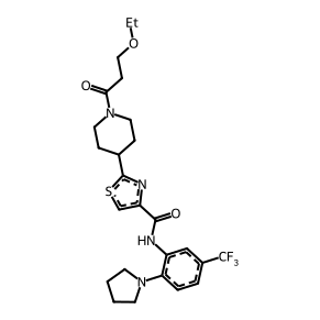 CCOCCC(=O)N1CCC(c2nc(C(=O)Nc3cc(C(F)(F)F)ccc3N3CCCC3)cs2)CC1